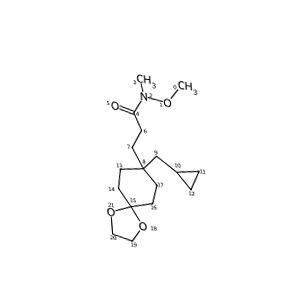 CON(C)C(=O)CCC1(CC2CC2)CCC2(CC1)OCCO2